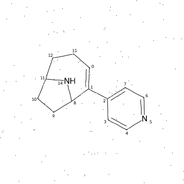 C1=C(c2ccncc2)C2CCC(CC1)N2